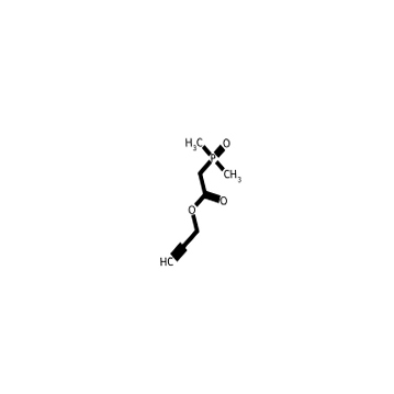 C#CCOC(=O)CP(C)(C)=O